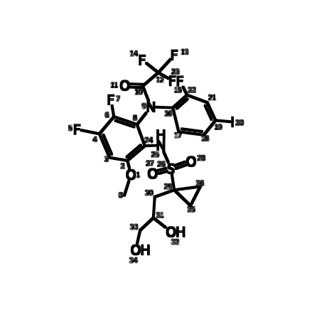 COc1cc(F)c(F)c(N(C(=O)C(F)(F)F)c2ccc(I)cc2F)c1NS(=O)(=O)C1(CC(O)CO)CC1